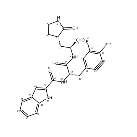 O=C[C@H](C[C@@H]1CCNC1=O)NC(=O)[C@H](Cc1c#cc(F)c(F)c1)NC(=O)c1cc2ccccc2[nH]1